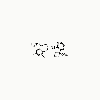 COC1(c2cccnc2CNC(CCCN)Cc2ncc(C)cc2C)CCC1